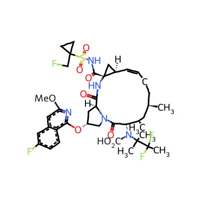 COc1cc2cc(F)ccc2c(O[C@@H]2C[C@H]3C(=O)N[C@]4(C(=O)NS(=O)(=O)C5(CF)CC5)C[C@H]4/C=C\CC[C@@H](C)C[C@@H](C)[C@H](N(C(=O)O)C(C)(C)C(C)(F)F)C(=O)N3C2)n1